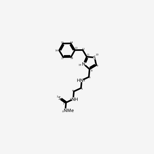 CNC(=S)NCCNCc1csc(Cc2ccccc2)n1